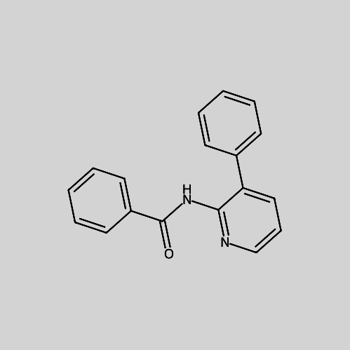 O=C(Nc1ncccc1-c1ccccc1)c1ccccc1